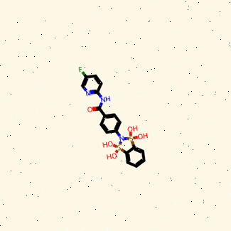 O=C(Nc1ccc(F)cn1)c1ccc(N2S(O)(O)c3ccccc3S2(O)O)cc1